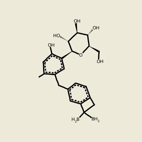 BC1(B)Cc2ccc(Cc3cc([C@@H]4O[C@H](CO)[C@@H](O)[C@H](O)[C@H]4O)c(O)cc3C)cc21